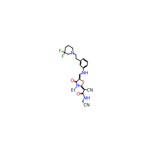 CCn1c(=C(C#N)C(=O)NCC#N)sc(=CNc2cccc(CCN3CCCC(F)(F)C3)c2)c1=O